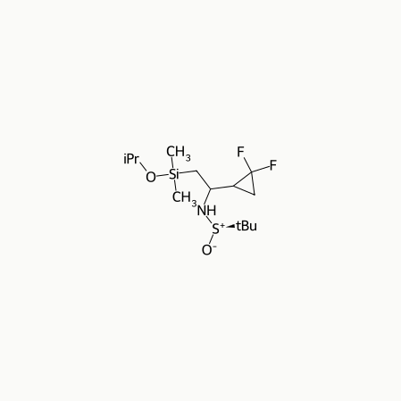 CC(C)O[Si](C)(C)CC(N[S@+]([O-])C(C)(C)C)C1CC1(F)F